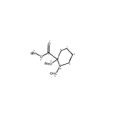 COC1(C(=O)OC(C)(C)C)CCCCN1[C]=O